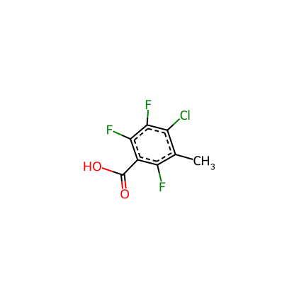 Cc1c(F)c(C(=O)O)c(F)c(F)c1Cl